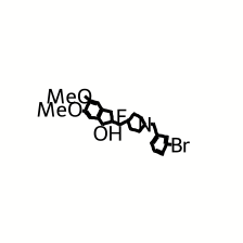 COc1cc2c(cc1OC)C(O)C(CC1(F)CCN(Cc3cccc(Br)c3)CC1)C2